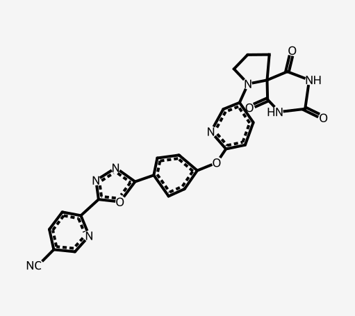 N#Cc1ccc(-c2nnc(-c3ccc(Oc4ccc(N5CCCC56C(=O)NC(=O)NC6=O)cn4)cc3)o2)nc1